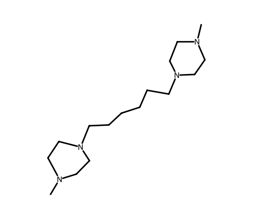 CN1CCN(CCCCCCN2CCN(C)CC2)CC1